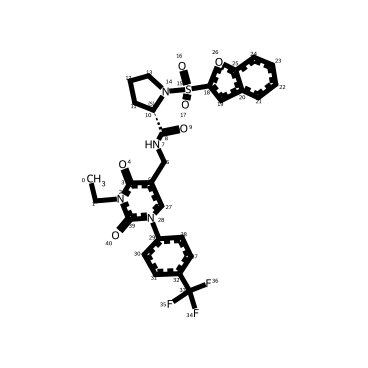 CCn1c(=O)c(CNC(=O)[C@@H]2CCCN2S(=O)(=O)c2cc3ccccc3o2)cn(-c2ccc(C(F)(F)F)cc2)c1=O